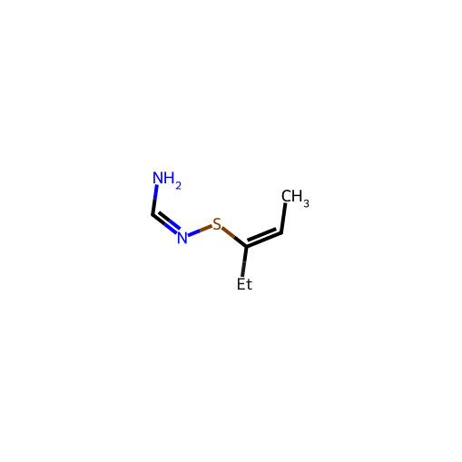 C/C=C(/CC)S/N=C\N